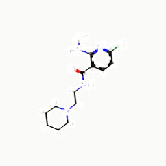 CC(C)Nc1nc(Cl)ccc1C(=O)NCCN1CCCCC1